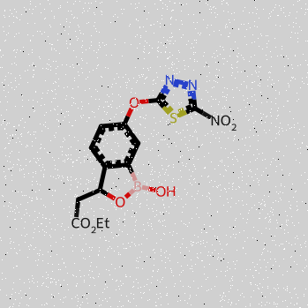 CCOC(=O)CC1OB(O)c2cc(Oc3nnc([N+](=O)[O-])s3)ccc21